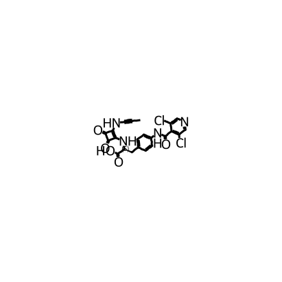 CC#CNc1c(N[C@@H](Cc2ccc(NC(=O)c3c(Cl)cncc3Cl)cc2)C(=O)O)c(=O)c1=O